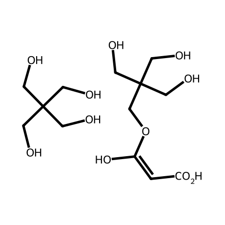 O=C(O)C=C(O)OCC(CO)(CO)CO.OCC(CO)(CO)CO